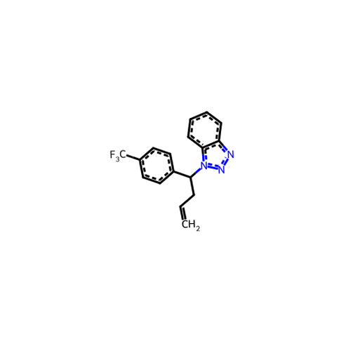 C=CCC(c1ccc(C(F)(F)F)cc1)n1nnc2ccccc21